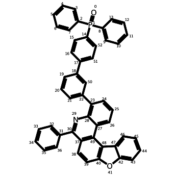 O=P(c1ccccc1)(c1ccccc1)c1ccc(-c2cccc(-c3cccc4c3nc(-c3ccccc3)c3ccc5oc6ccccc6c5c34)c2)cc1